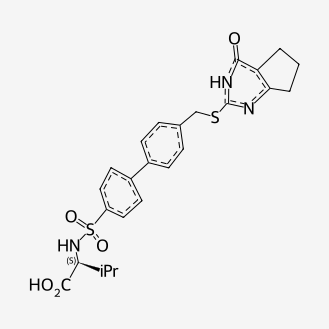 CC(C)[C@H](NS(=O)(=O)c1ccc(-c2ccc(CSc3nc4c(c(=O)[nH]3)CCC4)cc2)cc1)C(=O)O